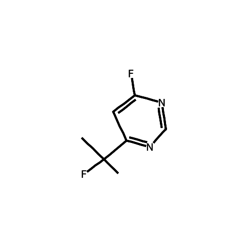 CC(C)(F)c1cc(F)ncn1